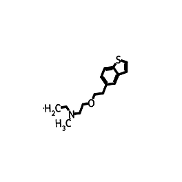 [CH2]CN(C)CCOCCc1ccc2sccc2c1